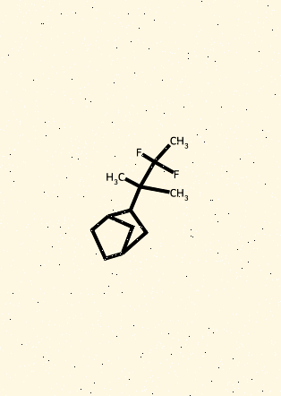 CC(F)(F)C(C)(C)C1CC2CCC1C2